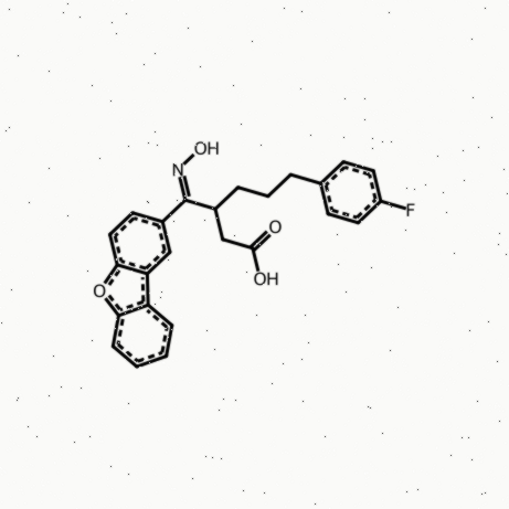 O=C(O)CC(CCCc1ccc(F)cc1)C(=NO)c1ccc2oc3ccccc3c2c1